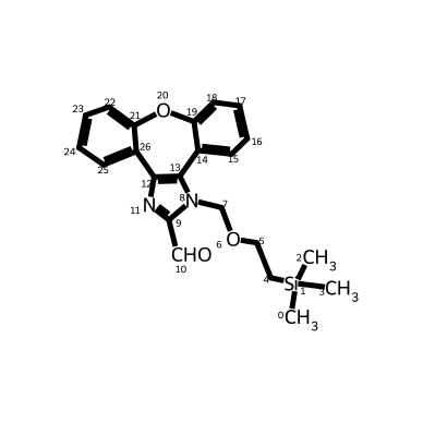 C[Si](C)(C)CCOCn1c(C=O)nc2c1-c1ccccc1Oc1ccccc1-2